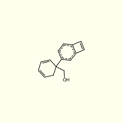 OCC1(c2ccc3c(c2)C=C3)C=CC=CC1